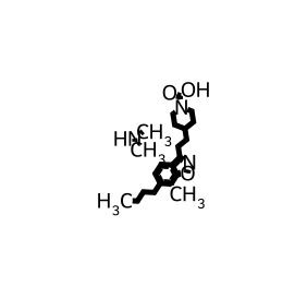 CCCCc1ccc2c(CCC3CCN(C(=O)O)CC3)noc2c1C.CNC